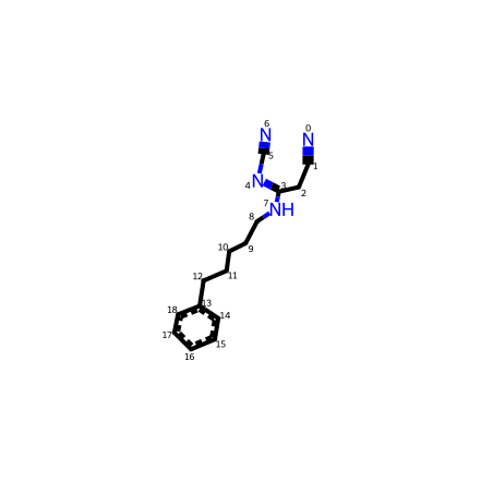 N#CCC(=NC#N)NCCCCCc1ccccc1